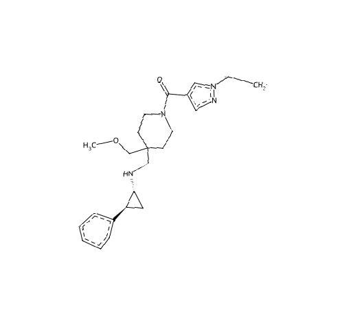 [CH2][CH]n1cc(C(=O)N2CCC(CN[C@@H]3C[C@H]3c3ccccc3)(COC)CC2)cn1